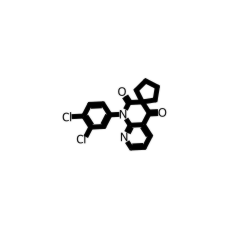 O=C1c2cccnc2N(c2ccc(Cl)c(Cl)c2)C(=O)C12CCCC2